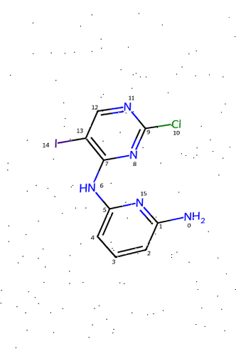 Nc1cccc(Nc2nc(Cl)ncc2I)n1